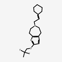 CC(F)(F)COc1ccc2c(n1)CCN(CC=C1CCCCC1)CC2